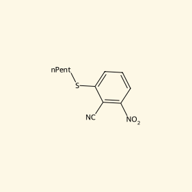 CCCCCSc1cccc([N+](=O)[O-])c1C#N